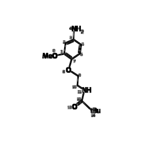 COc1cc(N)ccc1OCCNC(=O)C(C)(C)C